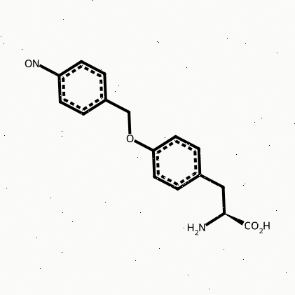 N[C@@H](Cc1ccc(OCc2ccc(N=O)cc2)cc1)C(=O)O